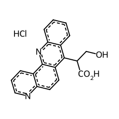 Cl.O=C(O)C(CO)c1c2ccccc2nc2c1ccc1ncccc12